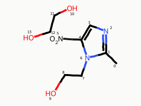 Cc1ncc([N+](=O)[O-])n1CCO.OCCO